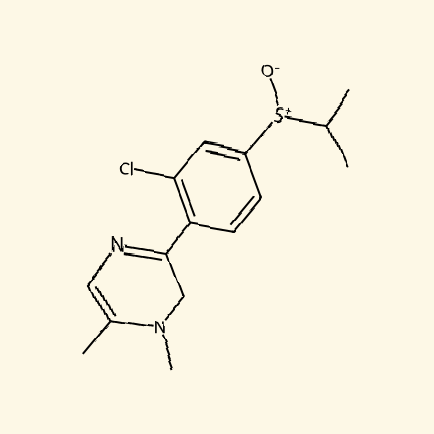 CC1=CN=C(c2ccc([S+]([O-])C(C)C)cc2Cl)CN1C